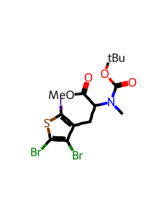 COC(=O)C(Cc1c(I)sc(Br)c1Br)N(C)C(=O)OC(C)(C)C